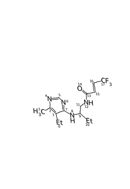 CCc1c(C)ncnc1NC(CC)CNC(=O)C=CC(F)(F)F